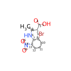 C[C@H](CC(=O)O)Nc1c(Br)cccc1[N+](=O)[O-]